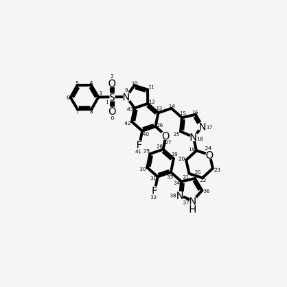 O=S(=O)(c1ccccc1)n1ccc2c(Cc3cnn(C4CCCCO4)c3)c(Oc3ccc(F)c(-c4cc[nH]n4)c3)c(F)cc21